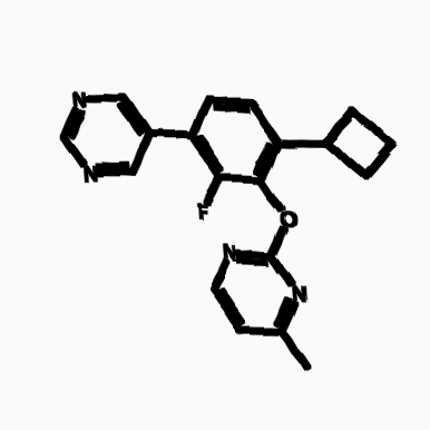 Cc1ccnc(Oc2c(C3CCC3)ccc(-c3cncnc3)c2F)n1